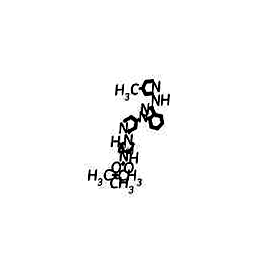 Cc1ccnc(Nc2nn(-c3ccnc(N4C[C@@H]5C[C@H]4CN5C(=O)OC(C)(C)C)c3)c3ccccc23)c1